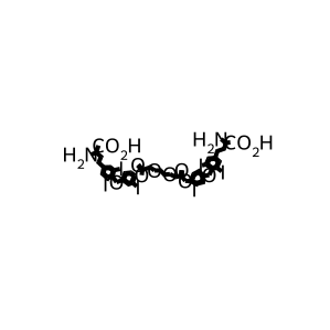 NC(CCc1cc(I)c(Oc2ccc(OC(=O)COCCOCC(=O)Oc3ccc(Oc4c(I)cc(CCC(N)C(=O)O)cc4I)cc3I)c(I)c2)c(I)c1)C(=O)O